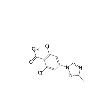 Cc1ncn(-c2cc(Cl)c(C(=O)O)c(Cl)c2)n1